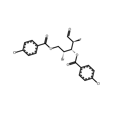 O=C[C@@H](F)[C@H](OC(=O)c1ccc(Cl)cc1)[C@H](Br)COC(=O)c1ccc(Cl)cc1